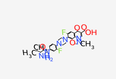 CC(C)C(N)C(=O)Nc1ccc(N2CCN(c3c(F)cc4c(=O)c(C(=O)O)cn5c4c3OCN5C)CC2)c(F)c1